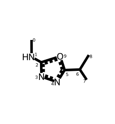 CNc1nnc(C(C)C)o1